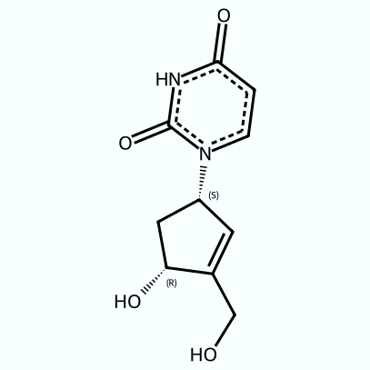 O=c1ccn([C@@H]2C=C(CO)[C@H](O)C2)c(=O)[nH]1